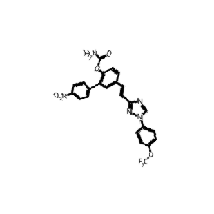 NC(=O)Oc1ccc(/C=C/c2ncn(-c3ccc(OC(F)(F)F)cc3)n2)cc1-c1ccc([N+](=O)[O-])cc1